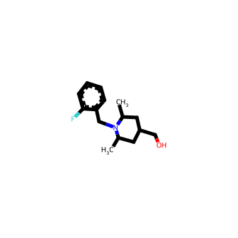 CC1CC(CO)CC(C)N1Cc1ccccc1F